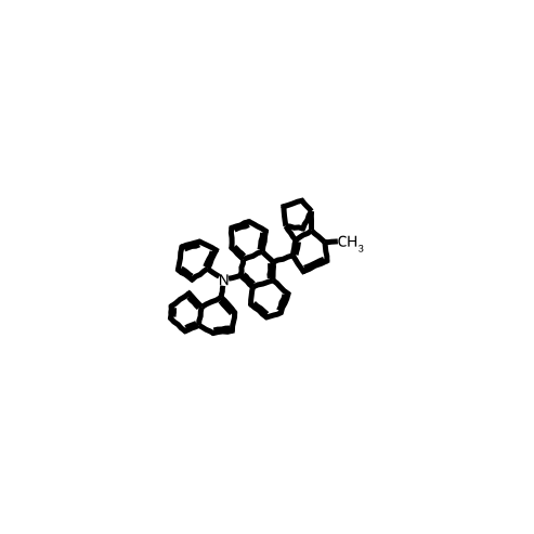 CC1C=CC(c2c3ccccc3c(N(c3ccccc3)c3cccc4ccccc34)c3ccccc23)=C2C3CCC(C3)C21